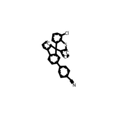 N#Cc1ccc(-c2ccc3c(c2)C2(c4ccccc4Sc4c(Cl)cccc42)c2ccccc2-3)cc1